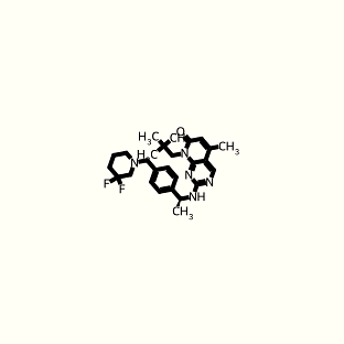 Cc1cc(=O)n(CC(C)(C)C)c2nc(N[C@@H](C)c3ccc(CN4CCCC(F)(F)C4)cc3)ncc12